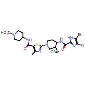 CCc1[nH]c(C(=O)NC2CCN(c3nc(C)c(C(=O)NC4CCN(C(=O)O)CC4)s3)CC2OC)nc1Cl